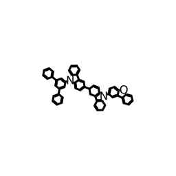 C1=Cc2c3c(n(-c4ccc5oc6ccccc6c5c4)c2CC1)C=CC(c1ccc2c(c1)c1ccccc1n2-c1cc(-c2ccccc2)cc(-c2ccccc2)c1)C3